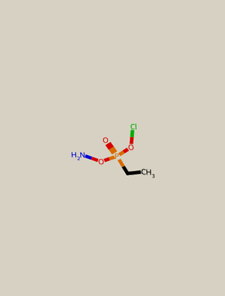 CCP(=O)(ON)OCl